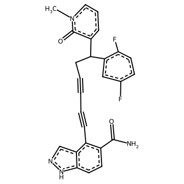 Cn1cccc(C(CC#CC#Cc2c(C(N)=O)ccc3[nH]ncc23)c2cc(F)ccc2F)c1=O